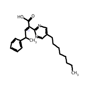 CCCCCCCCc1cnc(/C(=C\C(C)c2ccccc2)C(=O)O)nc1